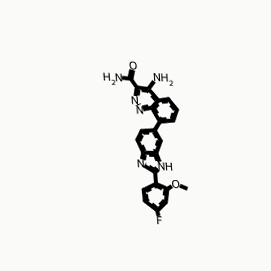 COc1cc(F)ccc1-c1nc2ccc(-c3cccc4c(N)c(C(N)=O)nnc34)cc2[nH]1